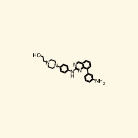 Nc1cccc(-c2cccc3cnc(Nc4ccc(N5CCN(CCO)CC5)cc4)nc23)c1